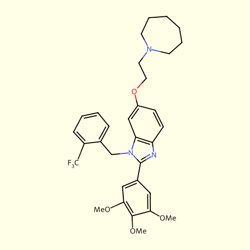 COc1cc(-c2nc3ccc(OCCN4CCCCCC4)cc3n2Cc2ccccc2C(F)(F)F)cc(OC)c1OC